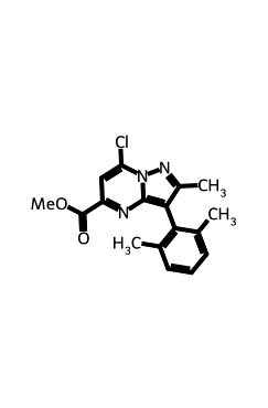 COC(=O)c1cc(Cl)n2nc(C)c(-c3c(C)cccc3C)c2n1